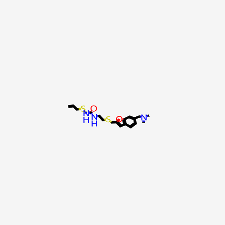 C=CCSNC(=O)NCCSCc1cc2ccc(CN(C)C)cc2o1